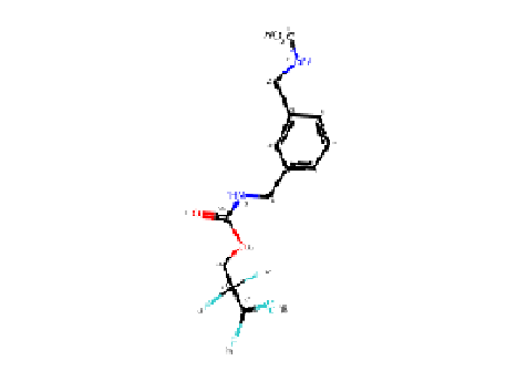 O=C(O)NCc1cccc(CNC(=O)OCC(F)(F)C(F)F)c1